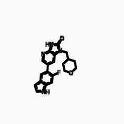 O=c1[nH]c2ncc(-c3cc4cc[nH]c4cc3F)cc2n1CC1CCOCC1